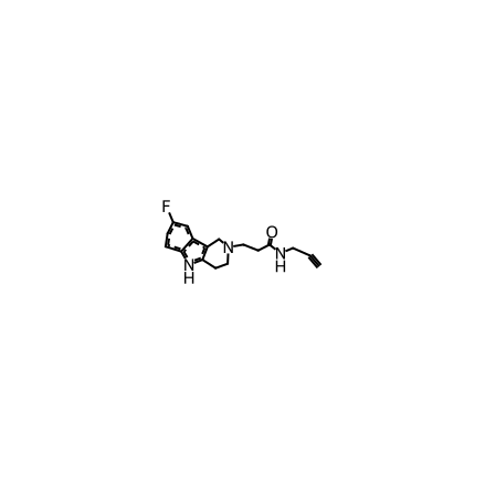 C#CCNC(=O)CCN1CCc2[nH]c3ccc(F)cc3c2C1